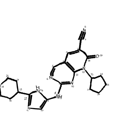 N#Cc1cc2cnc(Nc3cnc(C4CCNCC4)[nH]3)nc2n(C2CCCC2)c1=O